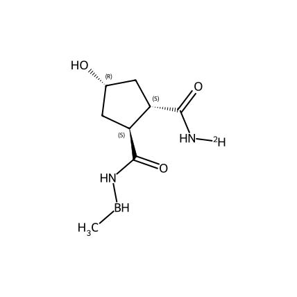 [2H]NC(=O)[C@H]1C[C@@H](O)C[C@@H]1C(=O)NBC